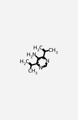 C=C(C)c1ncnc(C(=C)C)c1N